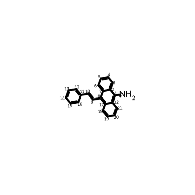 Nc1c2ccccc2c(/C=C/c2ccccc2)c2ccccc12